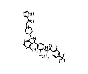 COc1cc(-c2nn(C3CCN(CC(=O)c4ccc[nH]4)CC3)c3ncnc(N)c23)ccc1NC(=O)c1ccc(C(F)(F)F)cc1F